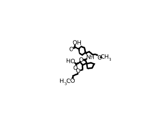 COCCCC1(NC(=O)C2(C(COCCOC)CC(=O)O)CCCC2)CCC(C(=O)O)CC1